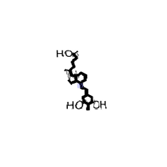 C=C1[C@H](O)CC(=C/C=C2\CCC[C@@]3(C)C2CC[C@@H]3[C@@H](C)CCC[C@H](C)O)C[C@H]1O